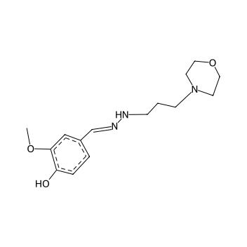 COc1cc(C=NNCCCN2CCOCC2)ccc1O